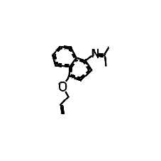 C=CCOc1ccc(N=C(C)C)c2ccccc12